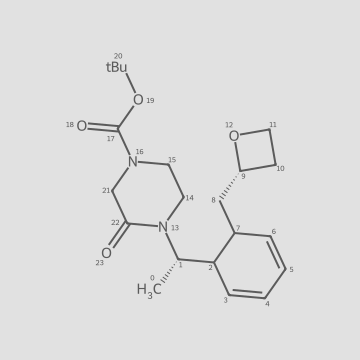 C[C@@H](C1C=CC=CC1C[C@H]1CCO1)N1CCN(C(=O)OC(C)(C)C)CC1=O